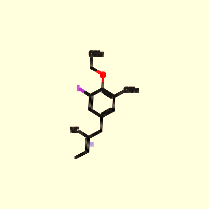 C/C=C(\C#N)Cc1cc(I)c(OCOC)c(OC)c1